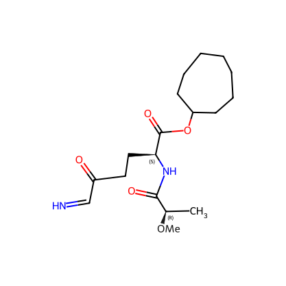 CO[C@H](C)C(=O)N[C@@H](CCC(=O)C=N)C(=O)OC1CCCCCCC1